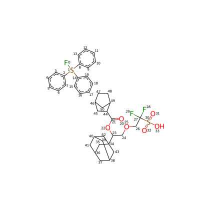 FS(c1ccccc1)(c1ccccc1)c1ccccc1.O=C(OC(COCC(F)(F)S(=O)(=O)O)C12CC3CC(CC(C3)C1)C2)C1CC2CCC1C2